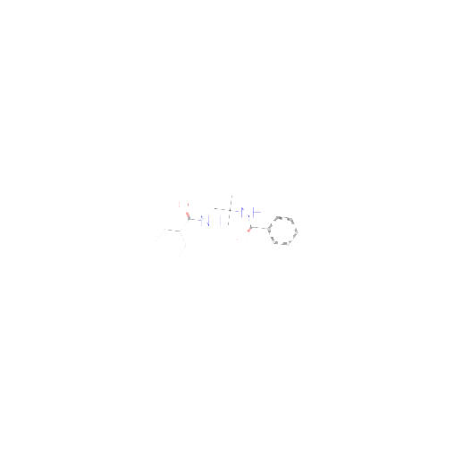 CCC(CC)C(=O)NCC(C)(C)NC(=O)c1ccccc1